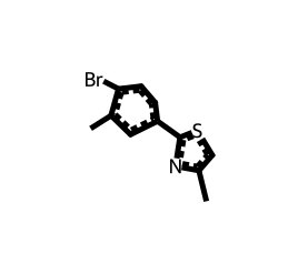 Cc1csc(-c2ccc(Br)c(C)c2)n1